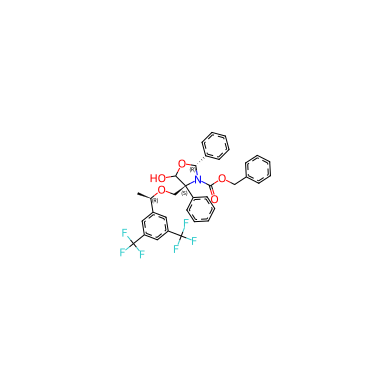 C[C@@H](OC[C@@]1(c2ccccc2)C(O)O[C@H](c2ccccc2)N1C(=O)OCc1ccccc1)c1cc(C(F)(F)F)cc(C(F)(F)F)c1